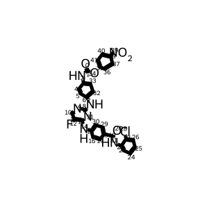 O=C(Nc1ccc(Nc2ncc(F)c(Nc3ccc(C(=O)Nc4ccccc4Cl)cc3)n2)cc1)Oc1ccc([N+](=O)[O-])cc1